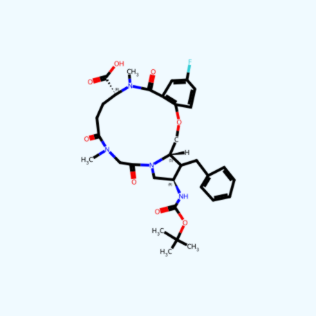 CN1CC(=O)N2C[C@H](NC(=O)OC(C)(C)C)C(Cc3ccccc3)[C@H]2COc2ccc(F)cc2C(=O)N(C)[C@@H](C(=O)O)CCC1=O